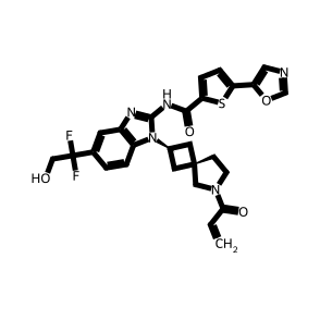 C=CC(=O)N1CC[C@]2(C1)C[C@H](n1c(NC(=O)c3ccc(-c4cnco4)s3)nc3cc(C(F)(F)CO)ccc31)C2